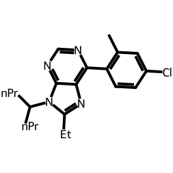 CCCC(CCC)n1c(CC)nc2c(-c3ccc(Cl)cc3C)ncnc21